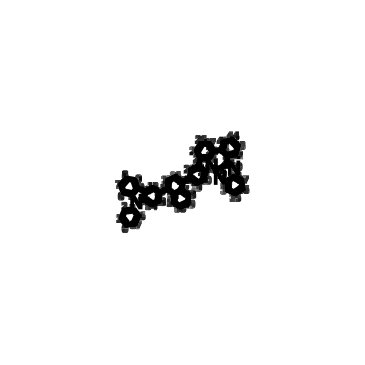 c1ccc(-n2c3ccccc3c3cc(-c4ccc(-c5ccc6c(c5)c5cccc7c5n6-c5nc6ccccc6nc5-c5ccccc5-7)c5ccccc45)ccc32)cc1